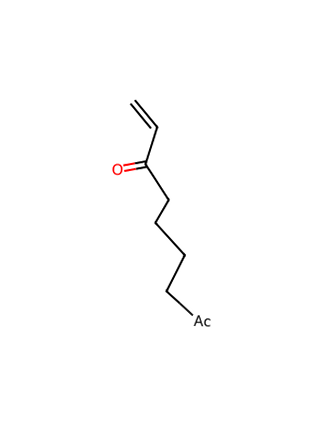 C=CC(=O)CCCCC(C)=O